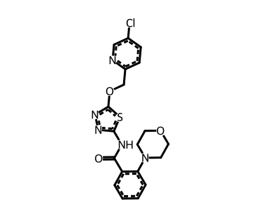 O=C(Nc1nnc(OCc2ccc(Cl)cn2)s1)c1ccccc1N1CCOCC1